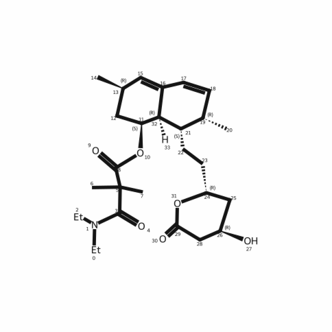 CCN(CC)C(=O)C(C)(C)C(=O)O[C@H]1C[C@@H](C)C=C2C=C[C@H](C)[C@H](CC[C@@H]3C[C@@H](O)CC(=O)O3)[C@H]21